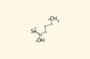 CCCCC(O)=[Se]